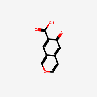 O=C(O)c1cc2coccc-2cc1=O